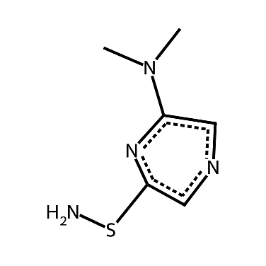 CN(C)c1cncc(SN)n1